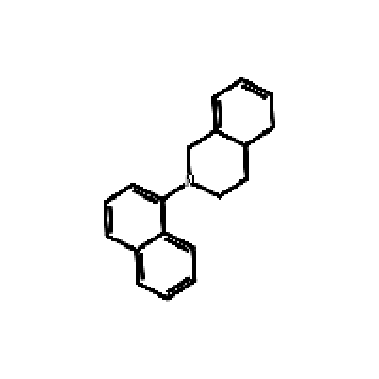 C1=CCC2CCN(c3cccc4ccccc34)CC2=C1